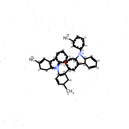 CC1C=CC(n2c3c(c4ccccc42)C=C(C#N)CC3)=C(c2ccc3c(c2)C2C=CC=CC2N3c2cccc(C#N)c2)C1